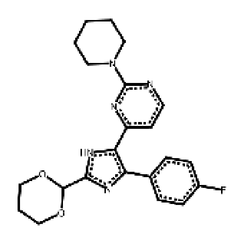 Fc1ccc(-c2nc(C3OCCCO3)[nH]c2-c2ccnc(N3CCCCC3)n2)cc1